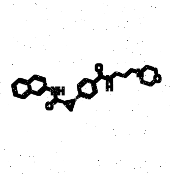 O=C(NCCCN1CCOCC1)c1ccc([C@@H]2C[C@H]2C(=O)Nc2ccc3ccccc3c2)cc1